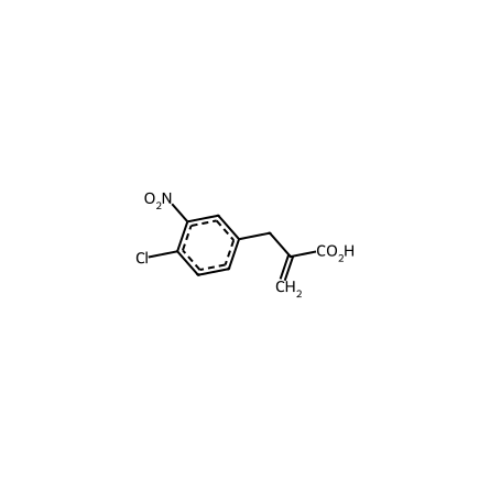 C=C(Cc1ccc(Cl)c([N+](=O)[O-])c1)C(=O)O